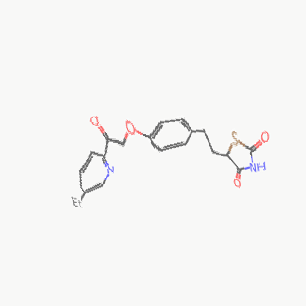 CCc1ccc(C(=O)COc2ccc(CCC3SC(=O)NC3=O)cc2)nc1